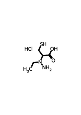 CCN(N)C(CS)C(=O)O.Cl